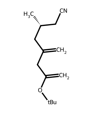 C=C(CC(=C)OC(C)(C)C)C[C@H](C)CC#N